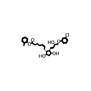 Cc1ccccc1OC(=O)CCC/C=C\C[C@@H]1[C@@H](/C=C/[C@@H](O)COc2cccc(Cl)c2)[C@H](O)C[C@@H]1O